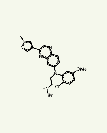 COc1ccc(Cl)c(N(CCNC(C)C)c2ccc3ncc(-c4cnn(C)c4)nc3c2)c1